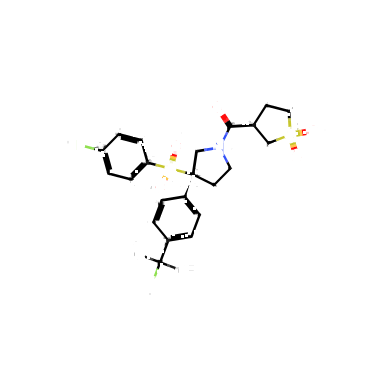 O=C(C1CCS(=O)(=O)C1)N1CC[C@](c2ccc(C(F)(C(F)(F)F)C(F)(F)F)cc2)(S(=O)(=O)c2ccc(F)cc2)C1